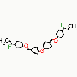 C=CC(F)C1CCC(OC=C2C=CC(OC3=CCC(=COC4CCC(C(F)C=C)CC4)C=C3)=CC2)CC1